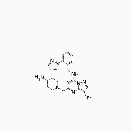 CC(C)c1cnn2c(NCc3ccccc3-n3cccn3)nc(CN3CCC(N)CC3)nc12